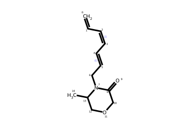 C=C/C=C\C=C\CN1C(=O)COCC1C